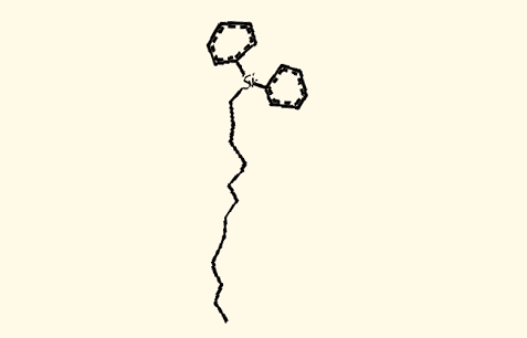 CCCCCCCCCCCC[Si](c1ccccc1)c1ccccc1